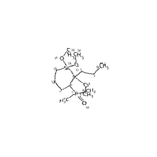 CCCC1(OC)C(P(C)(C)=O)CCC[Si]1(OC)OC